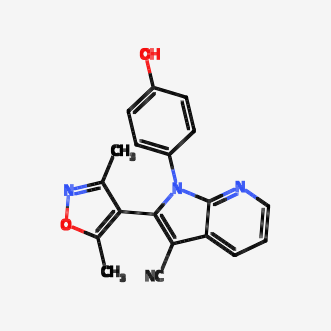 Cc1noc(C)c1-c1c(C#N)c2cccnc2n1-c1ccc(O)cc1